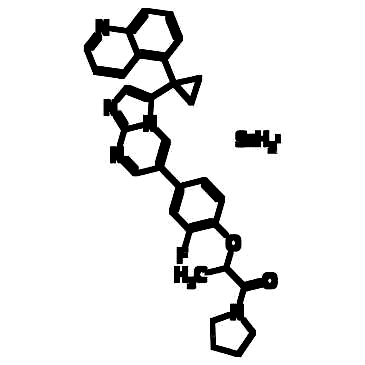 CC(Oc1ccc(-c2cnc3ncc(C4(c5cccc6ncccc56)CC4)n3c2)cc1F)C(=O)N1CCCC1.[SnH2]